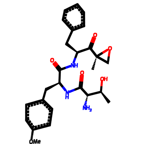 COc1ccc(C[C@H](NC(=O)[C@@H](N)[C@H](C)O)C(=O)N[C@@H](Cc2ccccc2)C(=O)[C@]2(C)CO2)cc1